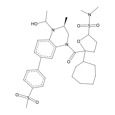 CC(O)N1c2ccc(-c3ccc(S(C)(=O)=O)cc3)cc2N(C(=O)C2(C3CCCCCC3)CCC(S(=O)(=O)N(C)C)O2)C[C@@H]1C